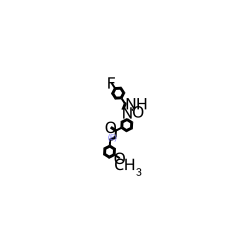 COc1cccc(/C=C/C(=O)c2cccc(-n3cc(-c4ccc(F)cc4)[nH]c3=O)c2)c1